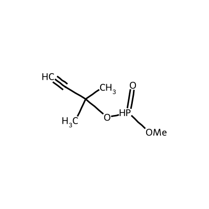 C#CC(C)(C)O[PH](=O)OC